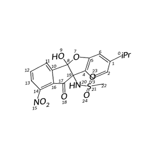 CC(C)c1ccc2c(c1)OC1(O)c3cccc([N+](=O)[O-])c3C(=O)C21NS(C)(=O)=O